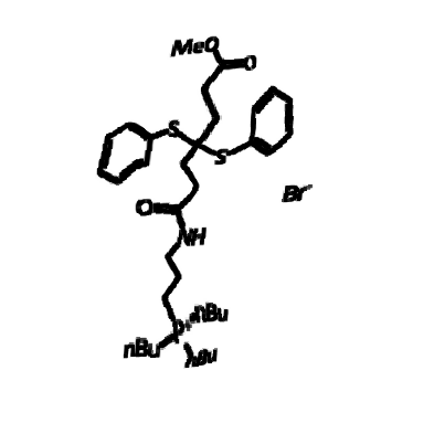 CCCC[P+](CCCC)(CCCC)CCCNC(=O)CCC(CCC(=O)OC)(Sc1ccccc1)Sc1ccccc1.[Br-]